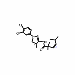 CC(C)/C=C\C(C)(C)C(=O)NC1=NN(c2ccc(Cl)c(Cl)c2)C[C@@H]1C